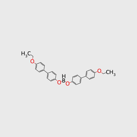 CCOc1ccc(-c2ccc(OBOc3ccc(-c4ccc(OCC)cc4)cc3)cc2)cc1